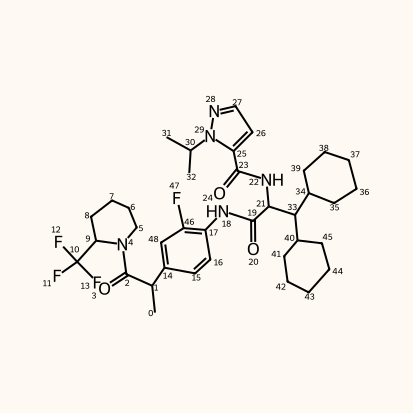 CC(C(=O)N1CCCCC1C(F)(F)F)c1ccc(NC(=O)C(NC(=O)c2ccnn2C(C)C)C(C2CCCCC2)C2CCCCC2)c(F)c1